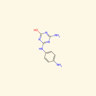 Nc1ccc(Nc2nc(N)nc(O)n2)cc1